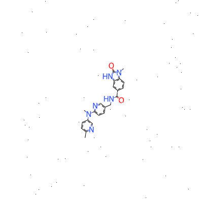 Cc1ccc(N(C)c2ccc(CNC(=O)c3ccc4c(c3)[nH]c(=O)n4C)cn2)cn1